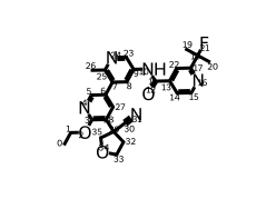 CCOc1ncc(-c2cc(NC(=O)c3ccnc(C(C)(C)F)c3)cnc2C)cc1C1(C#N)CCOC1